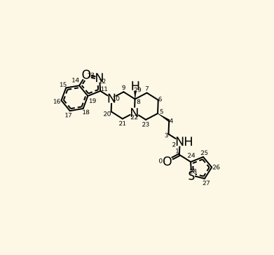 O=C(NCC[C@@H]1CC[C@H]2CN(c3noc4ccccc34)CCN2C1)c1cccs1